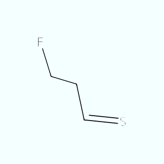 FCCC=S